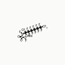 COC(N(F)S(=O)(=O)OF)(C(F)(F)F)C(F)(F)C(F)(F)C(F)(F)C(F)(F)C(F)(F)C(F)(F)F